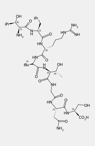 CC[C@H](C)C(NC(=O)[C@@H](CCCNC(=N)N)NC(=O)[C@H](CC(C)C)NC(=O)[C@@H](N)[C@H](O)C(C)C)C(=O)N[C@H](C(=O)NCC(=O)N[C@@H](CC(N)=O)C(=O)N[C@@H](CO)C(=O)O)[C@@H](C)O